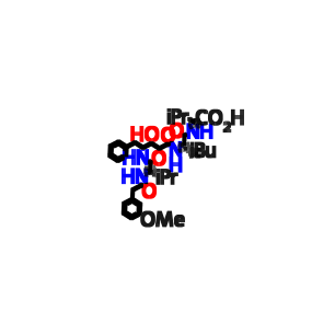 CC[C@H](C)[C@H](NC(=O)CC(O)C(Cc1ccccc1)NC(=O)[C@@H](NC(=O)Cc1cccc(OC)c1)C(C)C)C(=O)N[C@H](C(=O)O)C(C)C